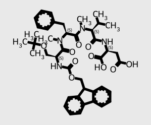 CC(C)[C@@H](C(=O)N[C@@H](CC(=O)O)C(=O)O)N(C)C(=O)[C@H](Cc1ccccc1)N(C)C(=O)[C@H](COC(C)(C)C)NC(=O)OCC1c2ccccc2-c2ccccc21